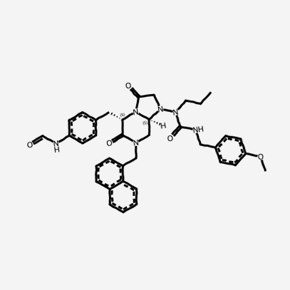 CCCN(C(=O)NCc1ccc(OC)cc1)N1CC(=O)N2[C@@H](Cc3ccc(NC=O)cc3)C(=O)N(Cc3cccc4ccccc34)C[C@@H]21